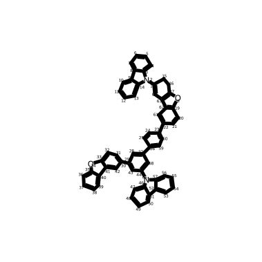 C1=C(n2c3ccccc3c3ccccc32)CCc2oc3ccc(-c4ccc(-c5cc(-c6ccc7oc8ccccc8c7c6)cc(-n6c7ccccc7c7ccccc76)c5)cc4)cc3c21